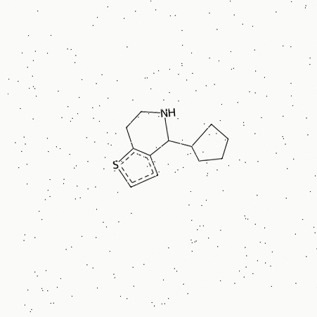 c1cc2c(s1)CCNC2C1CCCC1